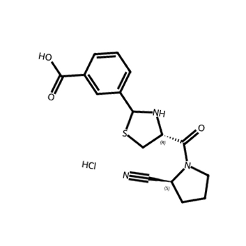 Cl.N#C[C@@H]1CCCN1C(=O)[C@@H]1CSC(c2cccc(C(=O)O)c2)N1